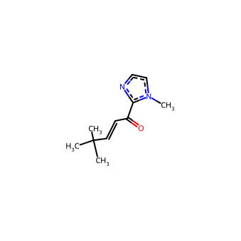 Cn1ccnc1C(=O)/C=C/C(C)(C)C